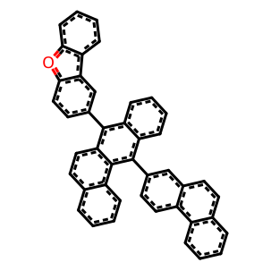 c1ccc2c(c1)ccc1cc(-c3c4ccccc4c(-c4ccc5oc6ccccc6c5c4)c4ccc5ccccc5c34)ccc12